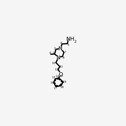 CC1CN(CCN)CCN1CCCOc1ccccc1